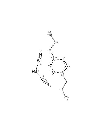 N#CNC#N.OCCc1cc[n+](CCO)cc1